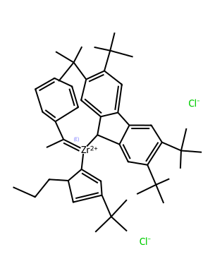 CCCC1C=C(C(C)(C)C)C=[C]1/[Zr+2](=[C](\C)c1ccccc1)[CH]1c2cc(C(C)(C)C)c(C(C)(C)C)cc2-c2cc(C(C)(C)C)c(C(C)(C)C)cc21.[Cl-].[Cl-]